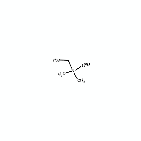 CCCCC[N+](C)(C)C(C)(C)C